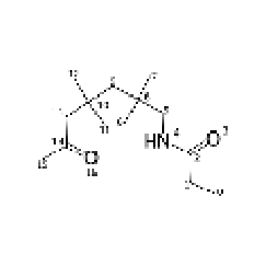 CCC(=O)NCC(C)(C)CC(C)(C)CC(C)=O